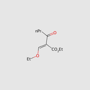 CCCC(=O)C(=COCC)C(=O)OCC